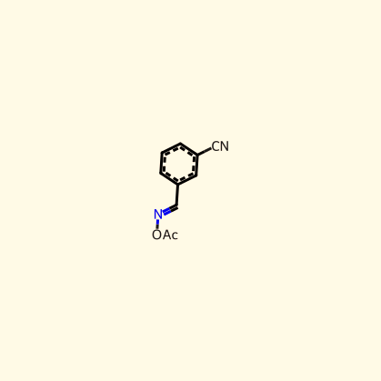 CC(=O)ON=Cc1cccc(C#N)c1